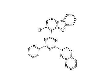 Clc1ccc2c(oc3ccccc32)c1-c1nc(-c2ccccc2)nc(-c2ccc3ccccc3c2)n1